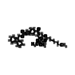 CCCCCCCC(=O)OCCN(CC(=O)OC(C)(C)C)C(=O)c1ccc(CNC(=O)OCC2c3ccccc3-c3ccccc32)cc1